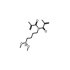 C=C(C)C(=O)N(CCCC[SiH](OC)OC)C(=O)C(=C)C